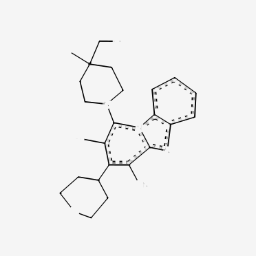 CCc1c(C2CCOCC2)c(C#N)c2nc3ccccc3n2c1N1CCC(C)(CO)CC1